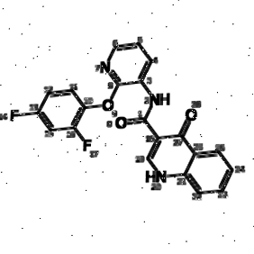 O=C(Nc1cccnc1Oc1ccc(F)cc1F)c1c[nH]c2ccccc2c1=O